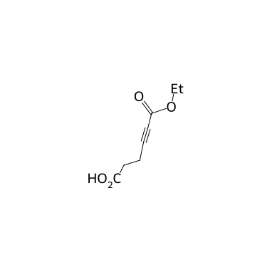 CCOC(=O)C#CCCC(=O)O